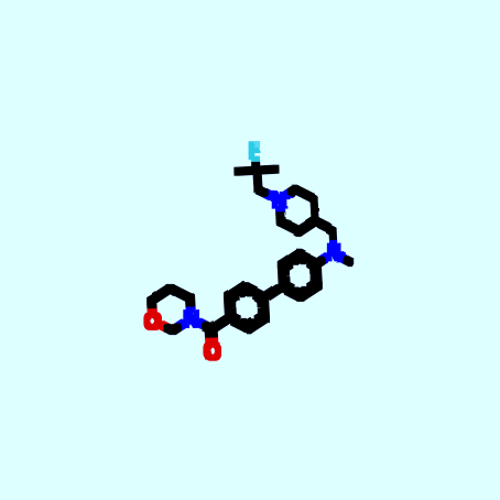 CN(CC1CCN(CC(C)(C)F)CC1)c1ccc(-c2ccc(C(=O)N3CCCOC3)cc2)cc1